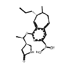 CCC[C@H]1C=c2c(O[C@H](C)[C@H]3CNC(=O)C3)nc(B(O)O)cc2=CCC1C